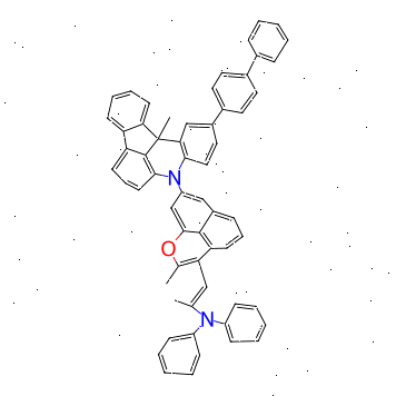 CC1=C(/C=C(\C)N(c2ccccc2)c2ccccc2)c2cccc3cc(N4c5ccc(-c6ccc(-c7ccccc7)cc6)cc5C5(C)c6ccccc6-c6cccc4c65)cc(c23)O1